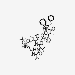 CC[C@H](C)[C@@H]([C@@H](CC(=O)N1CCC[C@H]1[C@H](OC)[C@@H](C)C(=O)N[C@@H](Cc1ccccc1)C1=C=CCC=CS1)OC)N(C)C(=O)[C@@H](NC(=O)[C@H](C(C)C)N(C)CCCNC(=O)OC(C)(C)C)C(C)C